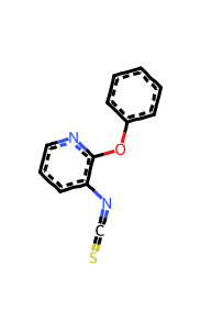 S=C=Nc1cccnc1Oc1ccccc1